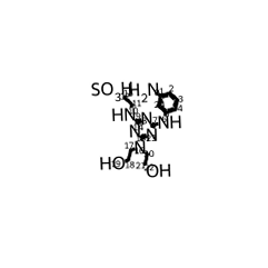 Nc1cccc(Nc2nc(NCCS(=O)(=O)O)nc(N(CCO)CCO)n2)c1